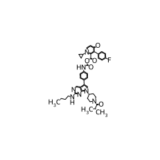 CCCCNc1ncc2c(-c3ccc(NC(=O)OC(=O)c4c(-c5ccc(F)cc5)c(=O)ccn4C4CC4)cc3)cn(C3CCN(C(=O)C(C)C)CC3)c2n1